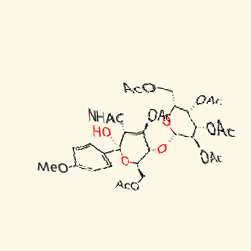 COc1ccc([C@]2(O)O[C@H](COC(C)=O)[C@@H](O[C@@H]3O[C@H](COC(C)=O)[C@H](OC(C)=O)[C@H](OC(C)=O)[C@H]3OC(C)=O)[C@H](OC(C)=O)[C@H]2NC(C)=O)cc1